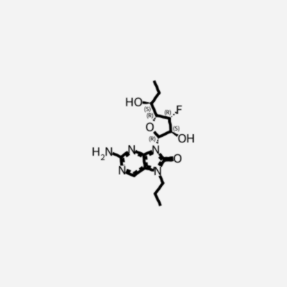 CCCn1c(=O)n([C@@H]2O[C@H]([C@@H](O)CC)[C@H](F)[C@H]2O)c2nc(N)ncc21